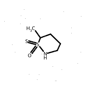 CC1CCCNS1(=O)=S